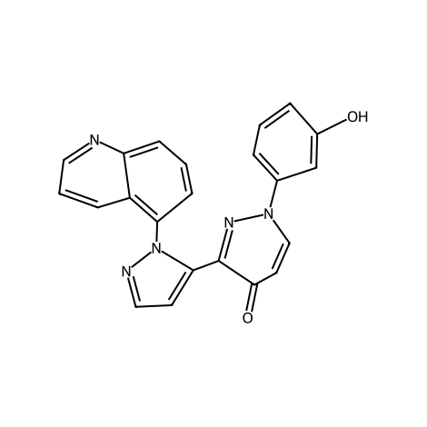 O=c1ccn(-c2cccc(O)c2)nc1-c1ccnn1-c1cccc2ncccc12